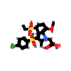 CCS(=O)(=O)C1C=CC(OC)=C2C1=C(S(=O)(=O)c1ccc(Cl)cc1)C(C)N2CC(=O)O